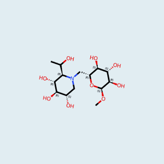 CO[C@H]1O[C@H](CN2C[C@H](O)[C@@H](O)[C@H](O)[C@H]2C(C)O)[C@@H](O)[C@H](O)[C@H]1O